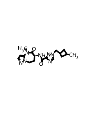 CC1CC(Cn2cnc(C(=O)N[C@H]3CCn4nccc4N(C)C3=O)n2)C1